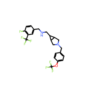 Fc1ccc(CNCC2C3CN(Cc4ccc(OC(F)(F)F)cc4)CC23)cc1C(F)(F)F